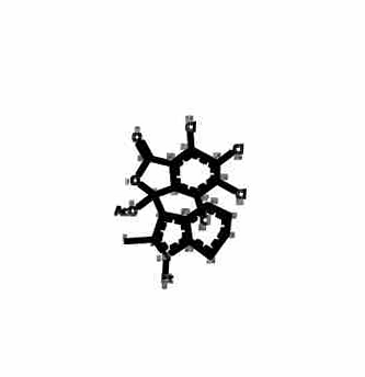 CCn1c(C)c(C2(OC(C)=O)OC(=O)c3c(Cl)c(Cl)c(Cl)c(Cl)c32)c2ccccc21